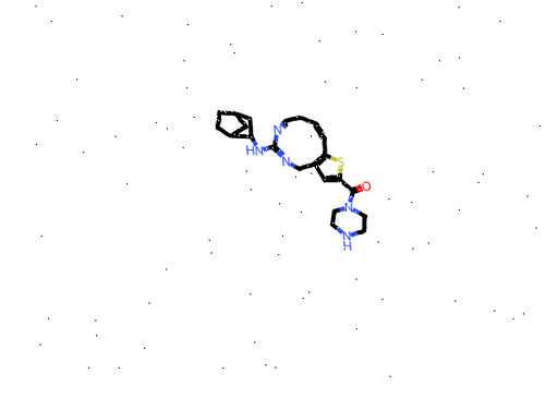 O=C(c1cc2c(s1)/C=C\C/C=N\C(NC1CC3CCC1C3)=N/C2)N1CCNCC1